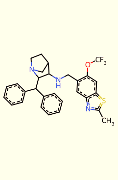 Cc1nc2cc(CNC3C4CCN(C4)C3C(c3ccccc3)c3ccccc3)c(OC(F)(F)F)cc2s1